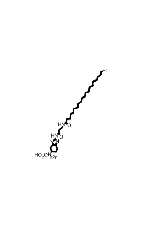 CCC=CCC=CCC=CCC=CCC=CCC=CCCC(=O)NCCC(=O)Nc1nc2c(s1)C[C@H](N(CCC)C(=O)O)CC2